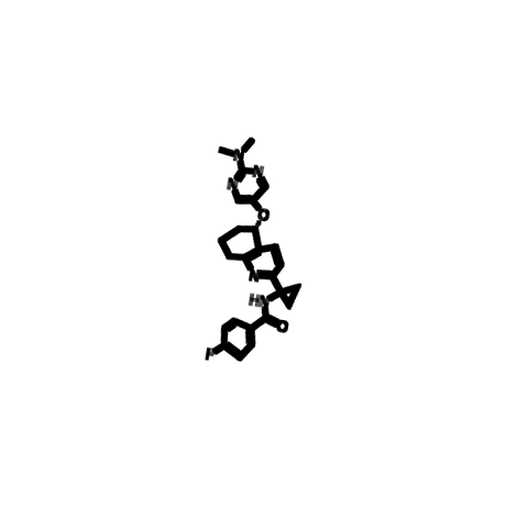 CN(C)c1ncc(O[C@H]2CCCc3nc(C4(NC(=O)c5ccc(F)cc5)CC4)ccc32)cn1